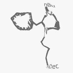 CCCCCCCCCCCCCN1C=CN(CCCC)C1c1ccccc1